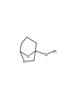 CC(C)OC12CCCC(OC1)O2